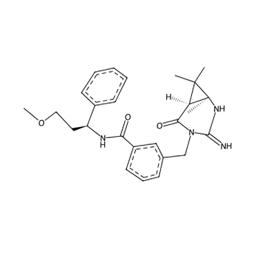 COCC[C@H](NC(=O)c1cccc(CN2C(=N)N[C@@]3(C)[C@@H](C2=O)C3(C)C)c1)c1ccccc1